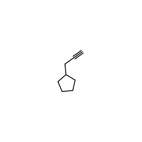 [C]#CCC1CCCC1